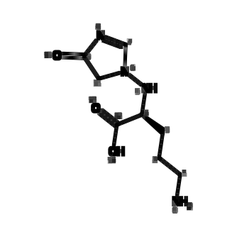 NCCC[C@H](NN1C=NC(=O)C1)C(=O)O